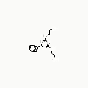 OCCNc1nc(NCCO)nc(C2CC3C=CC2C3)n1